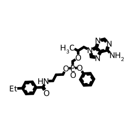 CCc1ccc(C(=O)NCCCOP(=O)(COC(C)Cn2cnc3c(N)ncnc32)Oc2ccccc2)cc1